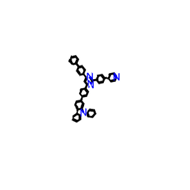 c1ccc(-c2ccc(-c3cc(-c4ccc(-c5ccc6c7ccccc7n(-c7ccccc7)c6c5)cc4)nc(-c4ccc(-c5ccncc5)cc4)n3)cc2)cc1